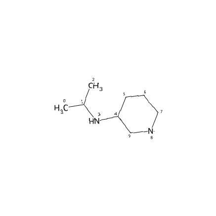 CC(C)NC1CCC[N]C1